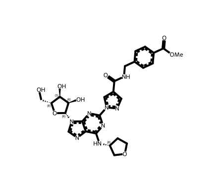 COC(=O)c1ccc(CNC(=O)c2cnn(-c3nc(N[C@@H]4CCOC4)c4ncn([C@@H]5O[C@H](CO)[C@@H](O)[C@H]5O)c4n3)c2)cc1